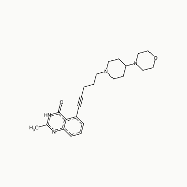 Cc1nc2cccc(C#CCCCN3CCC(N4CCOCC4)CC3)c2c(=O)[nH]1